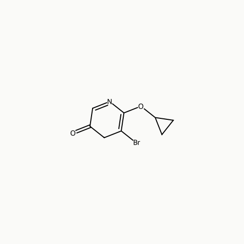 O=C1C=NC(OC2CC2)=C(Br)C1